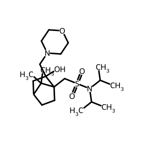 CC(C)N(C(C)C)S(=O)(=O)CC12CCC(CC1(O)CN1CCOCC1)C2(C)C